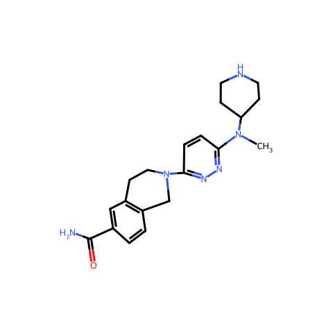 CN(c1ccc(N2CCc3cc(C(N)=O)ccc3C2)nn1)C1CCNCC1